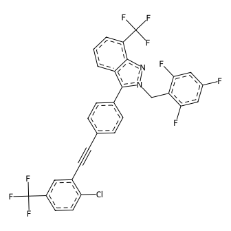 Fc1cc(F)c(Cn2nc3c(C(F)(F)F)cccc3c2-c2ccc(C#Cc3cc(C(F)(F)F)ccc3Cl)cc2)c(F)c1